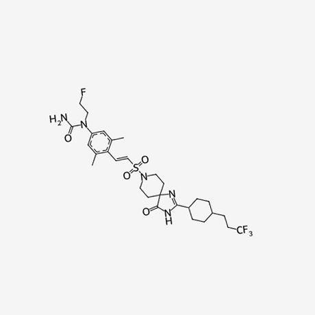 Cc1cc(N(CCF)C(N)=O)cc(C)c1C=CS(=O)(=O)N1CCC2(CC1)N=C(C1CCC(CCC(F)(F)F)CC1)NC2=O